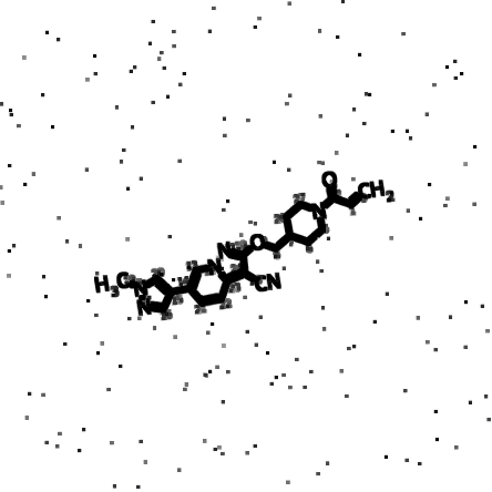 C=CC(=O)N1CCC(COc2nn3cc(-c4cnn(C)c4)ccc3c2C#N)CC1